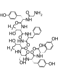 C[C@@H](O)[C@H](NC(=O)[C@H](Cc1ccccc1)NC(=O)[C@@H](NC(=O)[C@H](Cc1ccc(O)cc1)NC(=O)CN)[C@@H](C)O)C(=O)N[C@@H](CO)C(=O)N[C@@H](Cc1ccc(O)cc1)C(=O)N[C@@H](Cc1ccc(O)cc1)C(=O)O